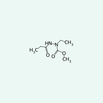 CCC(=O)NN(CC)C(=O)OC